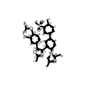 Cc1cn(-c2ccc(-c3ccc(C)c(S(C)(=O)=O)c3)cc2-c2nc(C)oc2-c2ccc(OC(F)F)c(F)c2)c(C)n1